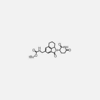 CC(C)(C)OC(=O)NCc1cc2c3c(c1)C(=O)N(C1CCC(=O)NC1=O)C3CCC2